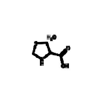 O.O=C(O)C1CSCN1